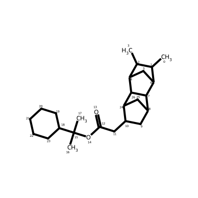 CC1C(C)C2CC1C1C3CC(CC(=O)OC(C)(C)C4CCCCC4)C(C3)C21